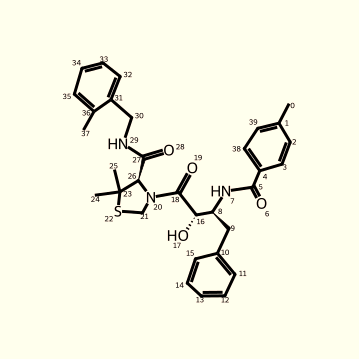 Cc1ccc(C(=O)N[C@@H](Cc2ccccc2)[C@H](O)C(=O)N2CSC(C)(C)[C@H]2C(=O)NCc2ccccc2C)cc1